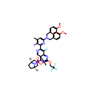 COc1ccc(CN(Cc2ccc(OC)cc2)c2cc(C)c(I)c(-c3ncc4c(N5C[C@H]6CC[C@@H](C5)N6C(=O)OC(C)(C)C)nc(OCC(F)(F)F)nc4c3F)n2)cc1